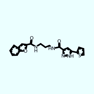 O=C(NCCCNC(=O)c1cc2ccccc2o1)c1cc(-c2cccs2)[nH]n1